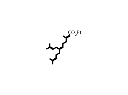 CCOC(=O)/C=C(\C)CC/C=C(\CC=C(C)C)CCC=C(C)C